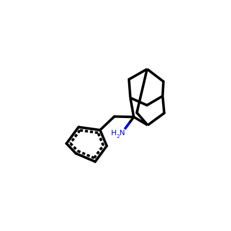 NC1(Cc2ccccc2)C2CC3CC(C2)CC1C3